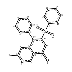 Cc1cc2c(cn1)c(=O)cc(S(=O)(=O)c1ccccc1)n2-c1ccccc1